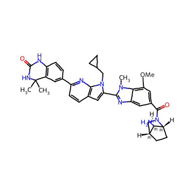 COc1cc(C(=O)N2C[C@H]3CC[C@@H]2[C@@H]3N)cc2nc(-c3cc4ccc(-c5ccc6c(c5)C(C)(C)NC(=O)N6)nc4n3CC3CC3)n(C)c12